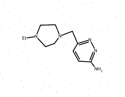 CCN1CCN(Cc2ccc(N)nn2)CC1